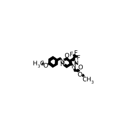 CCOC(=O)Cn1nc(C(F)(F)F)c2c(=O)n(Cc3ccc(OC)cc3)ncc21